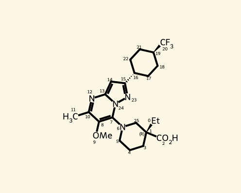 CC[C@@]1(C(=O)O)CCCN(c2c(OC)c(C)nc3cc([C@H]4CC[C@H](C(F)(F)F)CC4)nn23)C1